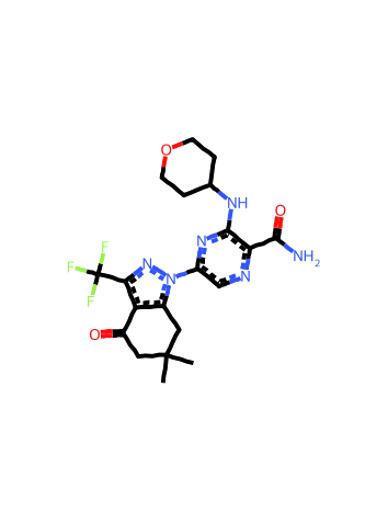 CC1(C)CC(=O)c2c(C(F)(F)F)nn(-c3cnc(C(N)=O)c(NC4CCOCC4)n3)c2C1